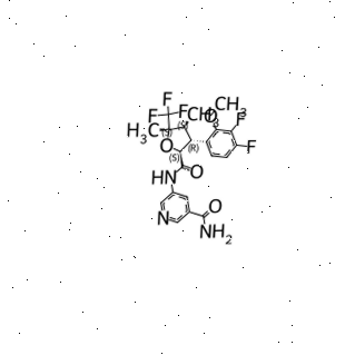 COc1c([C@@H]2[C@@H](C(=O)Nc3cncc(C(N)=O)c3)O[C@](C)(C(F)(F)F)[C@H]2C)ccc(F)c1F